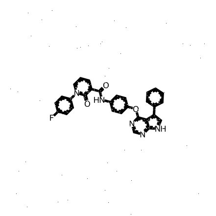 O=C(Nc1ccc(Oc2ncnc3[nH]cc(-c4ccccc4)c23)cc1)c1cccn(-c2ccc(F)cc2)c1=O